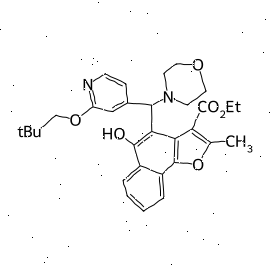 CCOC(=O)c1c(C)oc2c1c(C(c1ccnc(OCC(C)(C)C)c1)N1CCOCC1)c(O)c1ccccc12